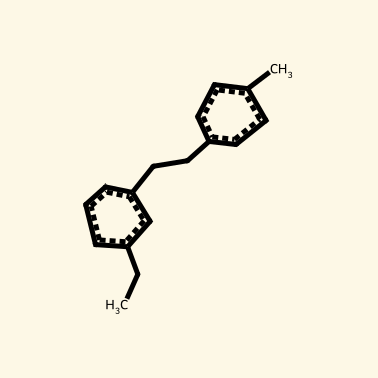 CCc1cc[c]c(CCc2ccc(C)cc2)c1